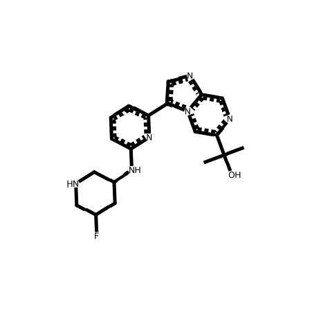 CC(C)(O)c1cn2c(-c3cccc(NC4CNCC(F)C4)n3)cnc2cn1